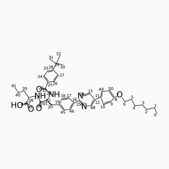 CCCCCCCOc1ccc(-c2cnc(-c3ccc(C[C@H](NC(=O)c4ccc(C(C)(C)C)cc4)C(=O)NC(CCC)C(=O)O)cc3)nc2)cc1